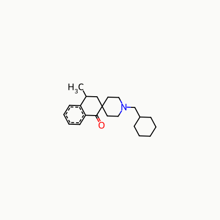 CC1CC2(CCN(CC3CCCCC3)CC2)C(=O)c2ccccc21